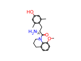 COc1cccc2c1N(C(=O)[C@H](N)Cc1c(C)cc(O)cc1C)CCC2